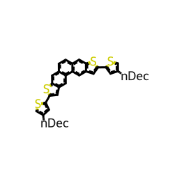 CCCCCCCCCCc1csc(-c2cc3cc4c(ccc5cc6sc(-c7cc(CCCCCCCCCC)cs7)cc6cc54)cc3s2)c1